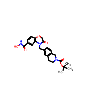 CC(C)(C)OC(=O)N1CCc2cc(CN3C(=O)COc4ccc(C(=O)NO)cc43)ccc2C1